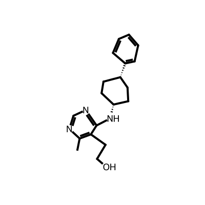 Cc1ncnc(N[C@H]2CC[C@@H](c3ccccc3)CC2)c1CCO